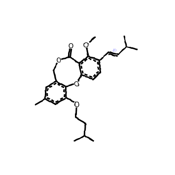 COc1c(/C=C/C(C)C)ccc2c1C(=O)OCc1cc(C)cc(OCCC(C)C)c1O2